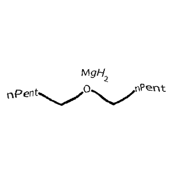 CCCCCCOCCCCCC.[MgH2]